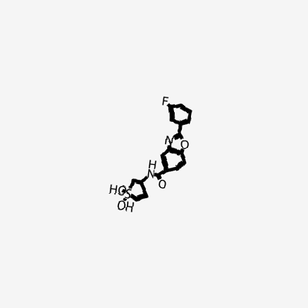 O=C(NC1C=CS(O)(O)C1)c1ccc2oc(-c3cccc(F)c3)nc2c1